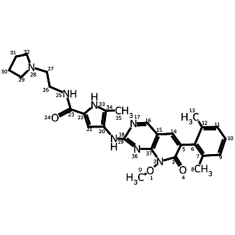 COn1c(=O)c(-c2c(C)cccc2C)cc2cnc(Nc3cc(C(=O)NCCN4CCCC4)[nH]c3C)nc21